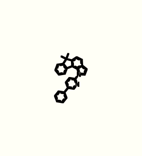 CC1(C)c2ccccc2-c2c1ccc1ccn(-c3ccc(-c4ccccc4)cn3)c21